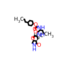 CCCC1CCC(OC(=O)NC(CC(C)C)C(=O)NC(C=O)C[C@@H]2CCNC2=O)CC1